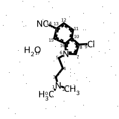 CN(C)CCCn1cc(Cl)c2ccc(C#N)cc21.O